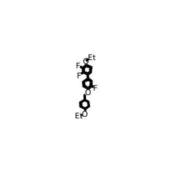 CCOc1ccc(-c2ccc(OCC3C=CC(OCC)CC3)c(F)c2)c(F)c1F